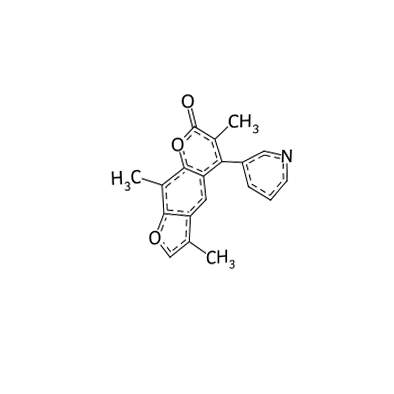 Cc1c(-c2cccnc2)c2cc3c(C)coc3c(C)c2oc1=O